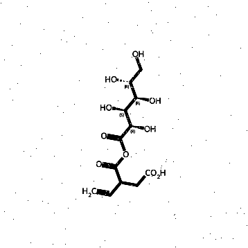 C=CC(CC(=O)O)C(=O)OC(=O)[C@H](O)[C@@H](O)[C@H](O)[C@H](O)CO